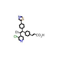 CC/C(=C(/c1ccc(/C=C/C(=O)O)cc1)c1ccc(-c2cncs2)cc1)c1ccncc1Cl